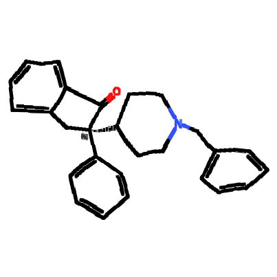 O=C1c2ccccc2C[C@@]1(c1ccccc1)C1CCN(Cc2ccccc2)CC1